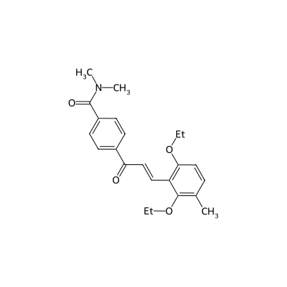 CCOc1ccc(C)c(OCC)c1C=CC(=O)c1ccc(C(=O)N(C)C)cc1